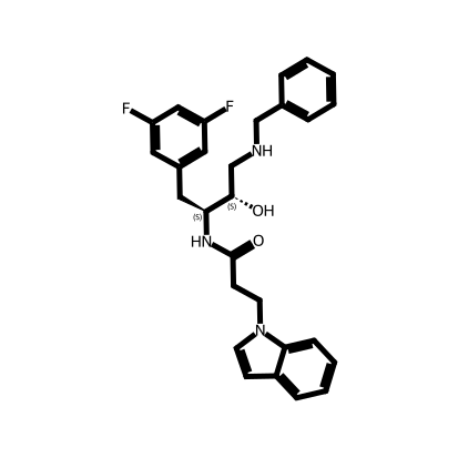 O=C(CCn1ccc2ccccc21)N[C@@H](Cc1cc(F)cc(F)c1)[C@@H](O)CNCc1ccccc1